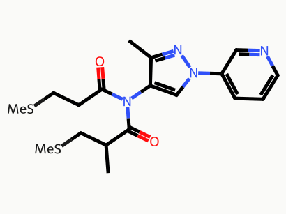 CSCCC(=O)N(C(=O)C(C)CSC)c1cn(-c2cccnc2)nc1C